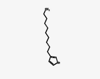 CCCCCCCCCCc1cc[se]c1